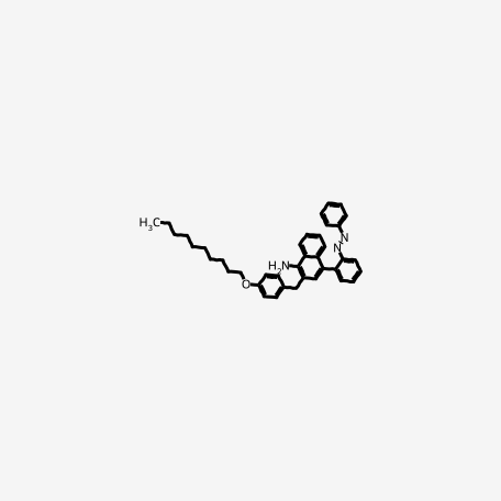 CCCCCCCCCCOc1ccc(Cc2cc(-c3ccccc3N=Nc3ccccc3)c3ccccc3c2N)cc1